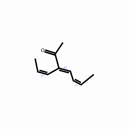 C\C=C/C=C(\C=C/C)C(C)=O